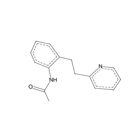 CC(=O)Nc1ccccc1CCc1ccccn1